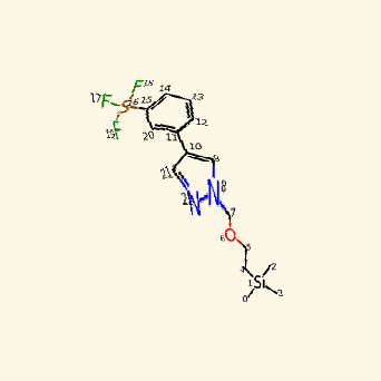 C[Si](C)(C)CCOCn1cc(-c2cccc(S(F)(F)F)c2)cn1